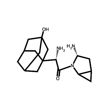 N[C@@H]1CC2CC2N1C(=O)[C@@H](N)C12CC3CC(CC(O)(C3)C1)C2